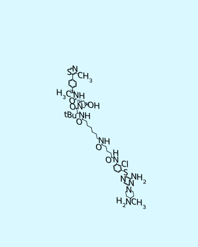 Cc1ncsc1-c1ccc([C@H](C)NC(=O)[C@@H]2C[C@@H](O)CN2C(=O)C(NC(=O)CCCCCCNC(=O)CCCC(=O)Nc2cccc(Sc3ncc(N4CCC(C)(N)CC4)nc3N)c2Cl)C(C)(C)C)cc1